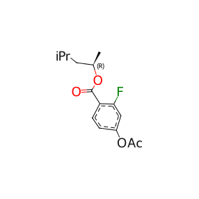 CC(=O)Oc1ccc(C(=O)O[C@H](C)CC(C)C)c(F)c1